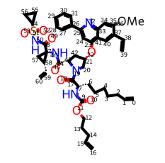 C=CCCCCC[C@H](NC(=O)OCCCC=C)C(=O)N1C[C@H](Oc2cc(-c3ccccc3)nc3cc(OC)c(C=C)cc23)C[C@H]1C(=O)N[C@]1(C(=O)NS(=O)(=O)C2CC2)C[C@H]1C=C